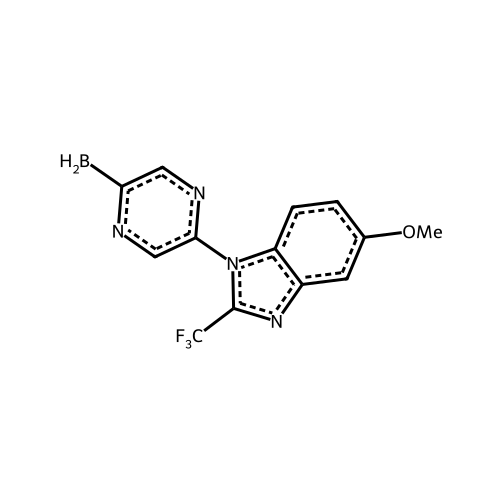 Bc1cnc(-n2c(C(F)(F)F)nc3cc(OC)ccc32)cn1